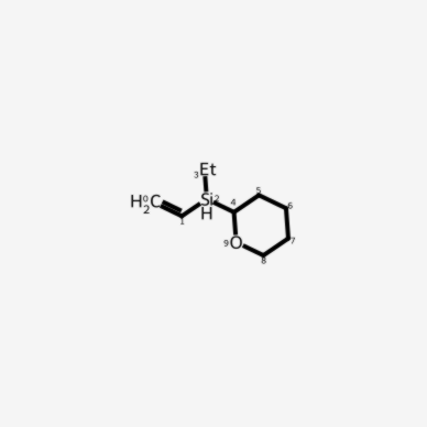 C=C[SiH](CC)C1CCCCO1